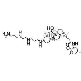 COC(=O)[C@H](CC(C)C)NC(=O)CC[C@@H](C)[C@H]1CC[C@H]2[C@@H]3[C@H](O)C[C@@H]4C[C@@H](NCCCNCCNCCCN)CC[C@]4(C)[C@H]3CC[C@]12C